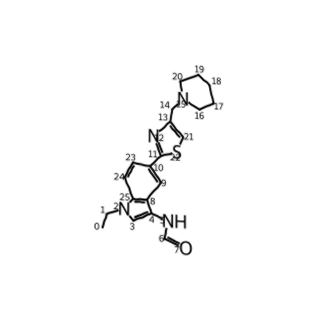 CCn1cc(NC=O)c2cc(-c3nc(CN4CCCCC4)cs3)ccc21